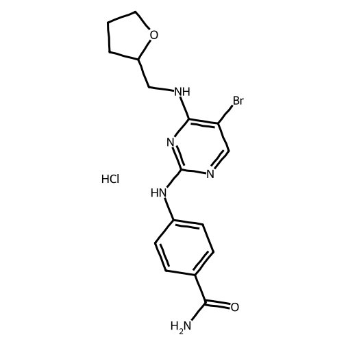 Cl.NC(=O)c1ccc(Nc2ncc(Br)c(NCC3CCCO3)n2)cc1